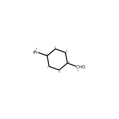 CC(C)C1CCC([C]=O)CC1